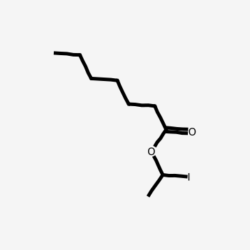 CCCCCCC(=O)OC(C)I